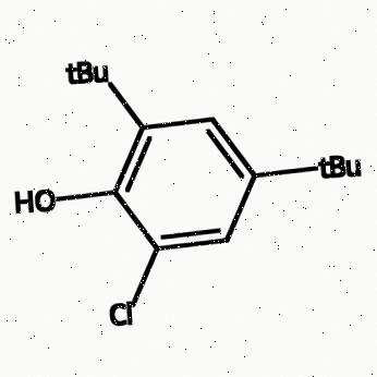 CC(C)(C)c1cc(Cl)c(O)c(C(C)(C)C)c1